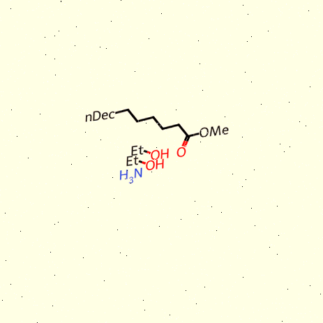 CCCCCCCCCCCCCCCC(=O)OC.CCO.CCO.N